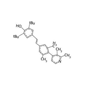 Cc1cc(C=Cc2cc(C(C)(C)C)c(O)c(C(C)(C)C)c2)cc(C)c1-c1ccnc(C)c1C